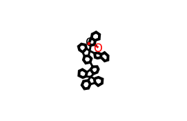 c1ccc2c(c1)-c1ccccc1C21c2ccccc2-c2c(-c3ccc4c(c3)C3(c5ccccc5-4)c4ccc5ccccc5c4Oc4c3ccc3ccccc43)cccc21